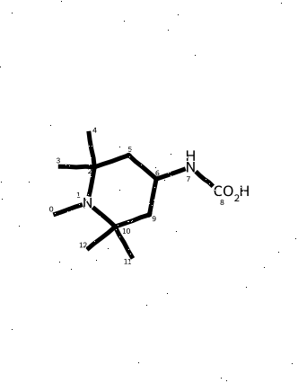 CN1C(C)(C)CC(NC(=O)O)CC1(C)C